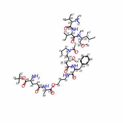 CC[C@H](C)[C@@H]([C@@H](CC(=O)N1CCC[C@H]1[C@H](OC)[C@@H](C)C(=O)N[C@@H](Cc1ccccc1)C(=O)NCCCOC(=O)C(C)NC(=O)CCC(N)C(=O)OC(C)(C)C)OC)N(C)C(=O)C(NC(=O)C(C(C)C)N(C)C)C(C)C